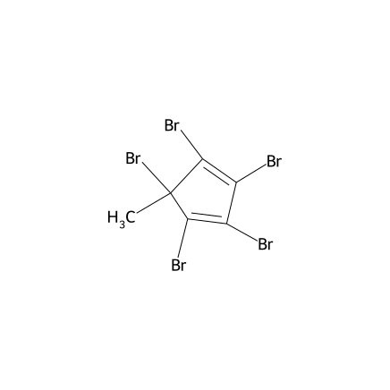 CC1(Br)C(Br)=C(Br)C(Br)=C1Br